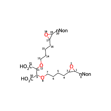 CCCCCCCCCC1OC1CCCCOC(C(=O)O)C(OCCCCC1OC1CCCCCCCCC)C(=O)O